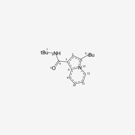 CCC(C)c1cc(C(=O)NC(C)(C)C)c2ccccn12